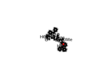 CON=C(C(=O)NC1C(=O)N2C(C(=O)OC(c3ccccc3)c3ccccc3)=C(CSc3nnc(O)c(=O)n3C)CS[C@@H]12)c1csc(NC(c2ccccc2)(c2ccccc2)c2ccccc2)n1